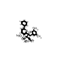 Cc1cc(C)cc(CC(O)(c2cccc(-c3ccccc3)n2)C(C#CC(C)C)(C(=O)O)[PH](=O)O)c1